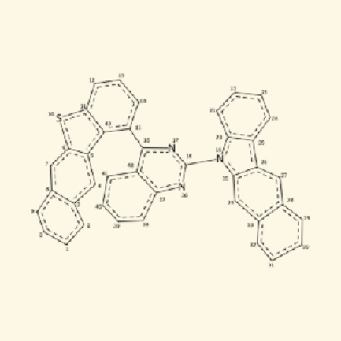 c1ccc2cc3c(cc2c1)sc1cccc(-c2nc(-n4c5ccccc5c5cc6ccccc6cc54)nc4ccccc24)c13